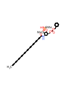 CC#CC#CC#CC#CC#CC#CC#CC#CC#CC#CC(=O)N[C@H]1C[C@H](COC(=O)OCc2ccccc2)[C@H](OP(=O)(O)OC)C1OC